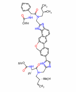 C#C[C@H](C=C)CN(Cc1ncc(-c2ccc3c(c2)COc2cc4c(ccc5nc(CN(C[C@H](C)C=C)C(=O)[C@H](NC(=O)OC)c6ccccc6)[nH]c54)cc2-3)[nH]1)C(=O)[C@@H](NC(=O)OC)C(C)C